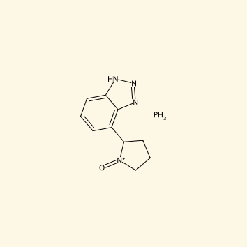 O=[N+]1CCCC1c1cccc2[nH]nnc12.P